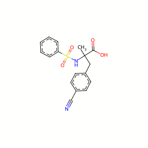 CC(Cc1ccc(C#N)cc1)(NS(=O)(=O)c1ccccc1)C(=O)O